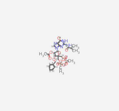 CC(=O)O[C@H]1[C@@H](OCc2ccccc2)C(COS(C)(=O)=O)(COS(C)(=O)=O)O[C@@H]1n1cnc2c(=O)[nH]c(NC(=O)C(C)C)nc21